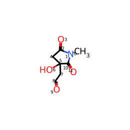 CN1C(=O)CC(O)(CC=O)C1=O